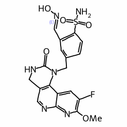 COc1nc2ncc3c(c2cc1F)N(Cc1ccc(S(N)(=O)=O)c(/C=N/O)c1)C(=O)NC3